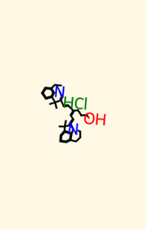 CC1(C)C(C=CC(=CC=C2N3CCCc4cccc(c43)C2(C)C)CCCO)=CN2CCc3cccc1c32.Cl